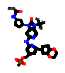 [2H]C([2H])([2H])n1c(=O)n([C@@H]2CC[C@@H](NC(=O)OC)C2)c2cc(Nc3cc(COS(C)(=O)=O)cc(-c4ccc5c(c4)OCCO5)n3)ncc21